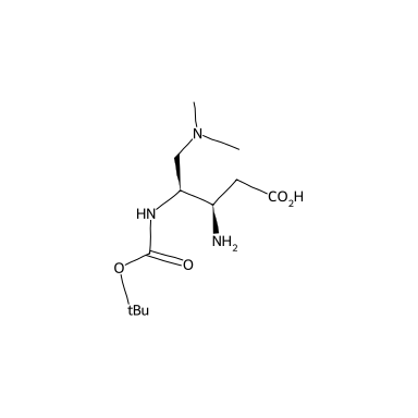 CN(C)C[C@H](NC(=O)OC(C)(C)C)[C@H](N)CC(=O)O